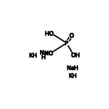 O=P(O)(O)O.[KH].[KH].[NaH].[NaH]